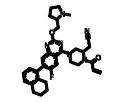 C=CC(=O)N1CCN(c2nc(OCC3CCCN3C)nc3cc(-c4cccc5c4CCCC5)c(F)cc23)CC1CC#N